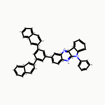 c1ccc(-n2c3ccccc3c3nc4cc(-c5cc(-c6ccc7ccccc7c6)cc(-c6ccc7ccccc7c6)c5)ccc4nc32)cc1